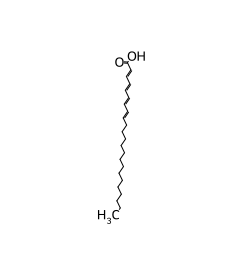 CCCCCCCCCCCCCC/C=C/C=C/C=C/C=C/C(=O)O